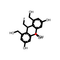 OCc1cc(O)cc(CO)c1C(CF)c1c(CO)cc(O)cc1CO